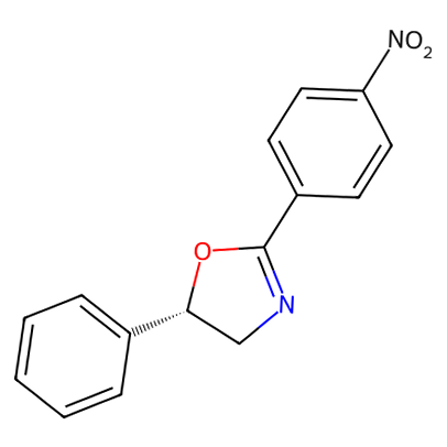 O=[N+]([O-])c1ccc(C2=NC[C@H](c3ccccc3)O2)cc1